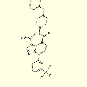 O=C(O)c1cnn2c1N(C(=O)CN1CCN(Cc3ccccc3)CC1)CC=C2c1cccc(C(F)(F)F)c1